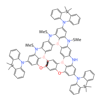 CSN1c2cc3c(cc2B2c4ccccc4Oc4cc(N5c6ccccc6[Si](C)(C)c6ccccc65)cc1c42)B1c2cc4c(cc2N(SC)c2cc(N5c6ccccc6[Si](C)(C)c6ccccc65)cc(c21)N3SC)Nc1cc(N2c3ccccc3[Si](C)(C)c3ccccc32)cc2c1B4c1ccccc1O2